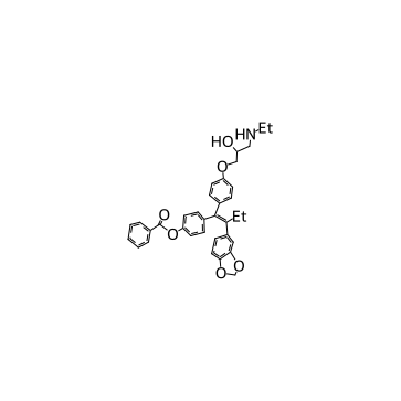 CCNCC(O)COc1ccc(C(=C(CC)c2ccc3c(c2)OCO3)c2ccc(OC(=O)c3ccccc3)cc2)cc1